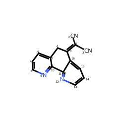 N#CC(C#N)=C1Cc2cccnc2-c2ncccc21